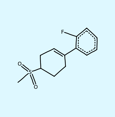 CS(=O)(=O)C1CC=C(c2ccccc2F)CC1